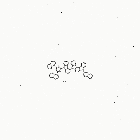 c1ccc2cc(-n3c4ccccc4c4c5c6ccccc6n(-c6cccc7c6c6ccccc6n7-c6nc(-c7cccc8ccccc78)cc(-c7cccc8ccccc78)n6)c5ccc43)ccc2c1